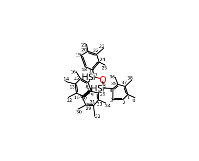 Cc1ccc([SiH](O[SiH](c2ccc(C)c(C)c2C)c2ccc(C)c(C)c2C)c2ccc(C)c(C)c2C)c(C)c1C